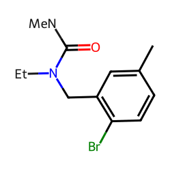 CCN(Cc1cc(C)ccc1Br)C(=O)NC